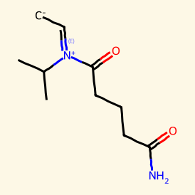 [CH2-]/C=[N+](/C(=O)CCCC(N)=O)C(C)C